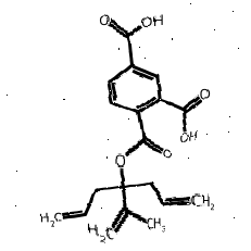 C=CCC(CC=C)(OC(=O)c1ccc(C(=O)O)cc1C(=O)O)C(=C)C